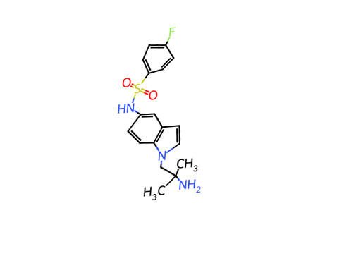 CC(C)(N)Cn1ccc2cc(NS(=O)(=O)c3ccc(F)cc3)ccc21